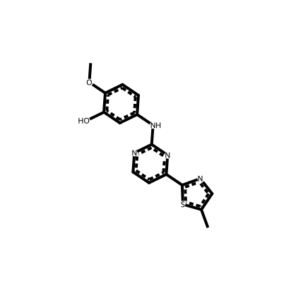 COc1ccc(Nc2nccc(-c3ncc(C)s3)n2)cc1O